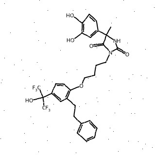 CC1(c2ccc(O)c(O)c2)NC(=O)N(CCCCOc2ccc(C(O)(C(F)(F)F)C(F)(F)F)cc2CCc2ccccc2)C1=O